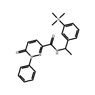 CC(NC(=O)c1ccc(=O)n(-c2ccccc2)n1)c1cccc([Si](C)(C)C)c1